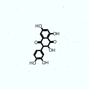 O=C1c2c(O)cc(O)cc2C(=O)C(c2ccc(O)c(O)c2)C1O